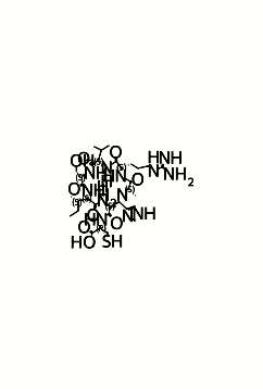 CC[C@H](C)[C@H](NC(=O)[C@H](CO)NC(=O)[C@@H](NC(=O)[C@H](CCCNC(=N)N)NC(=O)[C@H](C)N)C(C)C)C(=O)N[C@@H](Cc1c[nH]cn1)C(=O)N[C@@H](CS)C(=O)O